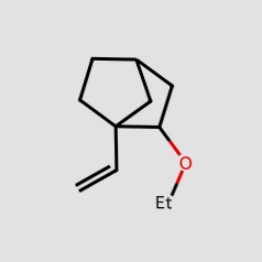 C=CC12CCC(CC1OCC)C2